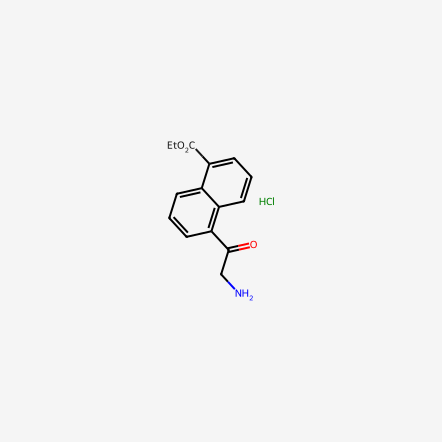 CCOC(=O)c1cccc2c(C(=O)CN)cccc12.Cl